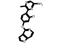 Cc1ncc(N)nc1-c1ccc(Oc2nccc3occc23)cc1Cl